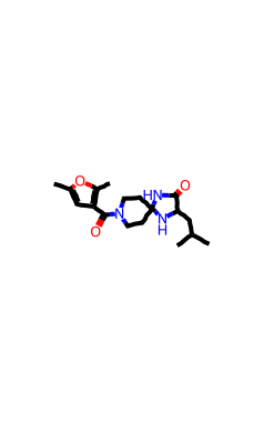 Cc1cc(C(=O)N2CCC3(CC2)NC(=O)C(CC(C)C)N3)c(C)o1